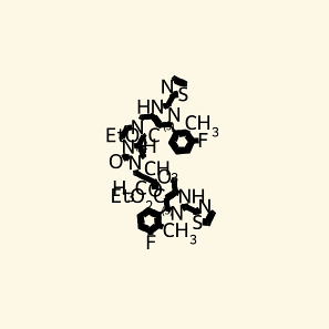 CCOC(=O)C1=C(COC(=O)C(C)(C)CN2C[C@@H]3CN(CC4=C(C(=O)OCC)[C@H](c5cccc(F)c5C)N=C(c5nccs5)N4)CCN3C2=O)NC(c2nccs2)=N[C@H]1c1cccc(F)c1C